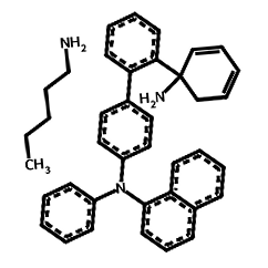 CCCCCN.NC1(c2ccccc2-c2ccc(N(c3ccccc3)c3cccc4ccccc34)cc2)C=CC=CC1